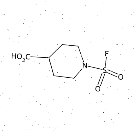 O=C(O)C1CCN(S(=O)(=O)F)CC1